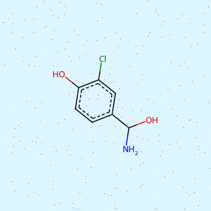 NC(O)c1ccc(O)c(Cl)c1